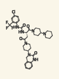 O=C(Nc1ccc(Cl)cc1C(F)(F)F)N[C@@H](CC(=O)N1CCC(N2Cc3ccccc3NC2=O)CC1)C(=O)N1CCC(N2CCCCC2)CC1